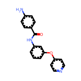 Nc1ccc(C(=O)Nc2cccc(Oc3ccncc3)c2)cc1